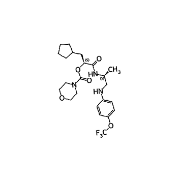 C[C@@H](CNc1ccc(OC(F)(F)F)cc1)NC(=O)[C@H](CC1CCCC1)OC(=O)N1CCOCC1